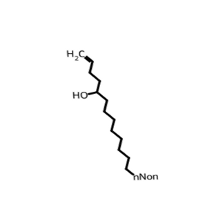 C=CCCC(O)CCCCCCCCCCCCCCCCC